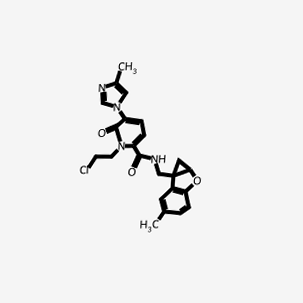 Cc1ccc2c(c1)C1(CNC(=O)c3ccc(-n4cnc(C)c4)c(=O)n3CCCl)CC1O2